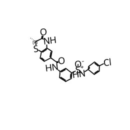 C[C@H]1Sc2ccc(C(=O)Nc3cccc([S+]([O-])Nc4ccc(Cl)cc4)c3)cc2NC1=O